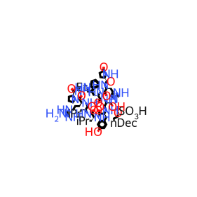 CCCCCCCCCCCCOS(=O)(=O)O.CCNC(=O)[C@@H]1CCCN1C(=O)[C@H](CCCNC(=N)N)NC(=O)[C@H](CC(C)C)NC(=O)[C@@H](CC(C)C)NC(=O)[C@H](Cc1ccc(O)cc1)NC(=O)[C@H](CO)NC(=O)[C@H](Cc1c[nH]c2ccccc12)NC(=O)[C@H](Cc1cnc[nH]1)NC(=O)[C@@H]1CCC(=O)N1